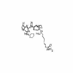 Cl.NC(=O)CCCCCCC(O)Oc1ccc(Nc2nc(NC3CCCCC3)c3nc[nH]c3n2)cc1